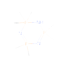 CP1(C)=NP(C)(C)(C)NP(C)(C)=N1